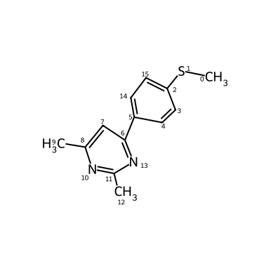 CSc1ccc(-c2cc(C)nc(C)n2)cc1